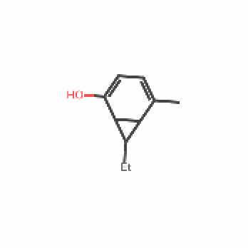 CCC1C2C(C)=CC=C(O)C12